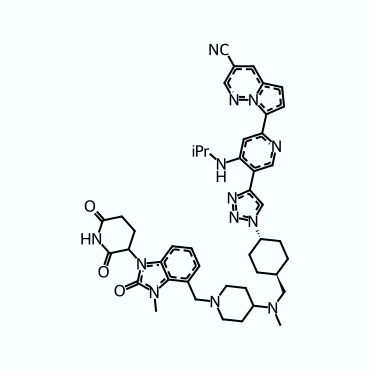 CC(C)Nc1cc(-c2ccc3cc(C#N)cnn23)ncc1-c1cn([C@H]2CC[C@H](CN(C)C3CCN(Cc4cccc5c4n(C)c(=O)n5C4CCC(=O)NC4=O)CC3)CC2)nn1